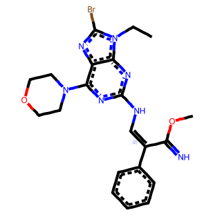 CCn1c(Br)nc2c(N3CCOCC3)nc(N/C=C(\C(=N)OC)c3ccccc3)nc21